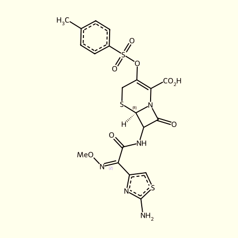 CO/N=C(\C(=O)NC1C(=O)N2C(C(=O)O)=C(OS(=O)(=O)c3ccc(C)cc3)CS[C@H]12)c1csc(N)n1